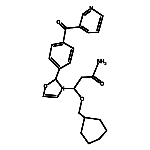 NC(=O)CC(OCC1CCCCC1)N1C=COC1c1ccc(C(=O)c2cccnc2)cc1